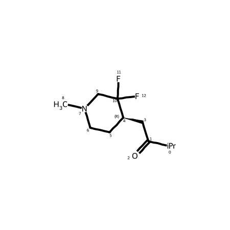 CC(C)C(=O)C[C@H]1CCN(C)CC1(F)F